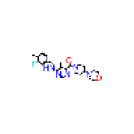 Cc1ccc(CNc2ncnc(C(=O)N3CCC(N4CCOCC4)CC3)c2C)cc1F